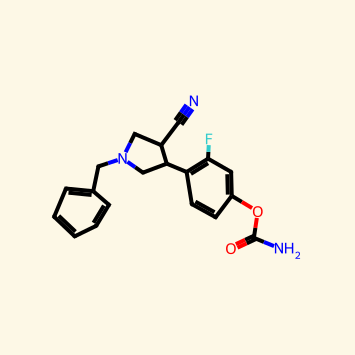 N#CC1CN(Cc2ccccc2)CC1c1ccc(OC(N)=O)cc1F